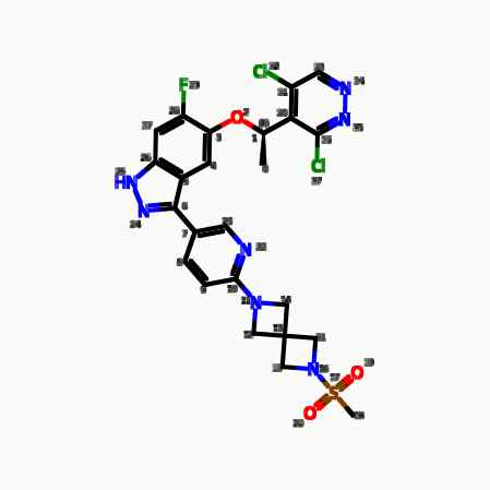 C[C@@H](Oc1cc2c(-c3ccc(N4CC5(C4)CN(S(C)(=O)=O)C5)nc3)n[nH]c2cc1F)c1c(Cl)cnnc1Cl